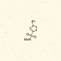 CNS(=O)(=O)c1ccc(C(C)C)s1